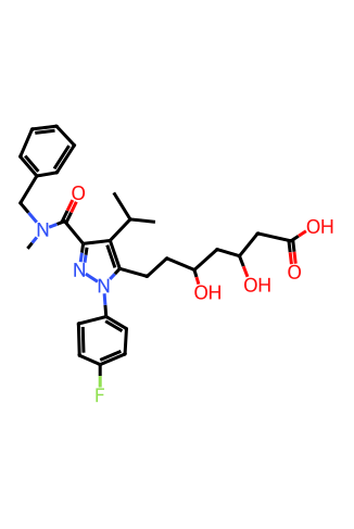 CC(C)c1c(C(=O)N(C)Cc2ccccc2)nn(-c2ccc(F)cc2)c1CCC(O)CC(O)CC(=O)O